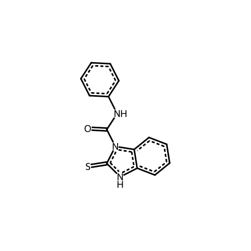 O=C(Nc1ccccc1)n1c(=S)[nH]c2ccccc21